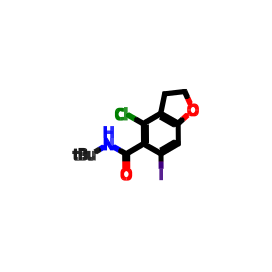 CC(C)(C)NC(=O)c1c(I)cc2c(c1Cl)CCO2